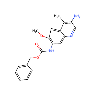 COc1cc2c(C)c(N)cnc2cc1NC(=O)OCc1ccccc1